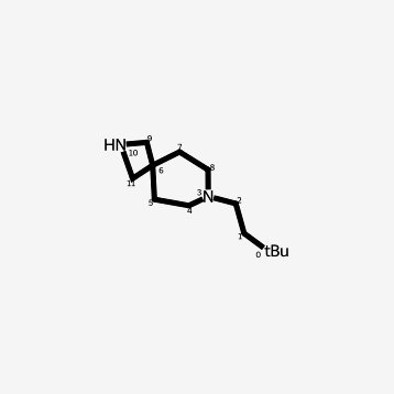 CC(C)(C)CCN1CCC2(CC1)CNC2